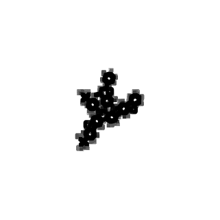 C=C1C=C(c2ccccc2)Oc2cc3c(cc21)B1c2c(ccc4c5cc6oc7ccccc7c6cc5n-3c24)-c2cc3c(cc2N1c1ccc(C(C)(C)C)cc1)oc1cc(C(C)(C)C)ccc13